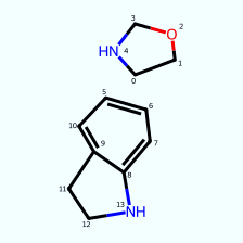 C1COCN1.c1ccc2c(c1)CCN2